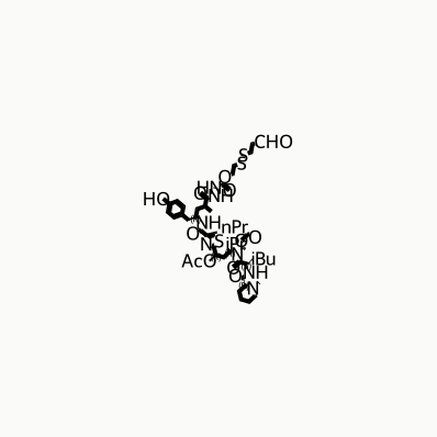 CCCC(=O)OCN(C(=O)[C@@H](NC(=O)[C@H]1CCCCN1C)C(C)CC)[C@H](C[C@@H](OC(C)=O)c1nc(C(=O)N[C@@H](Cc2ccc(O)cc2)CC(C)C(=O)NNC(=O)OCCSSCCC=O)cs1)C(C)C